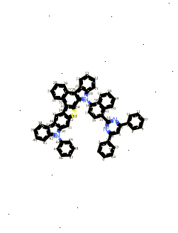 c1ccc(-c2cc(-c3ccccc3)nc(-c3ccc(-n4c5ccccc5c5c6ccccc6c6c7cc8c9ccccc9n(-c9ccccc9)c8cc7sc6c54)c4ccccc34)n2)cc1